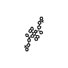 CC1(C)c2ccccc2-c2ccc(-c3ccc(N(c4ccccc4)c4ccc5c(-c6cccc7ccccc67)c6cc(N(c7ccccc7)c7ccc(C8=CC9C(C=C8)c8ccccc8C9(C)C)cc7)ccc6c(-c6cccc7ccccc67)c5c4)cc3)cc21